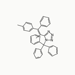 CC(=C(c1ccccc1)c1ccc(C)cc1)c1nnnn1C(c1ccccc1)(c1ccccc1)c1ccccc1